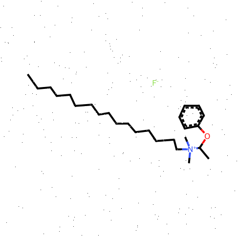 CCCCCCCCCCCCCCCC[N+](C)(C)C(C)Oc1ccccc1.[F-]